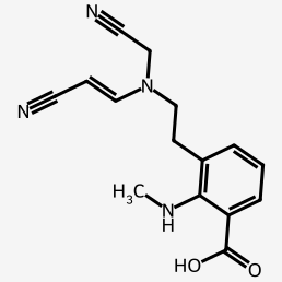 CNc1c(CCN(C=CC#N)CC#N)cccc1C(=O)O